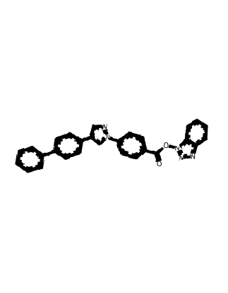 O=C(On1nnc2ccccc21)c1ccc(-n2cc(-c3ccc(-c4ccccc4)cc3)cn2)cc1